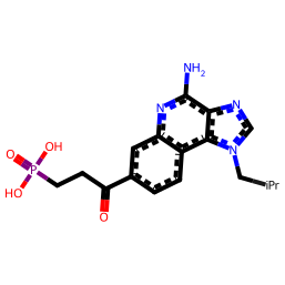 CC(C)Cn1cnc2c(N)nc3cc(C(=O)CCP(=O)(O)O)ccc3c21